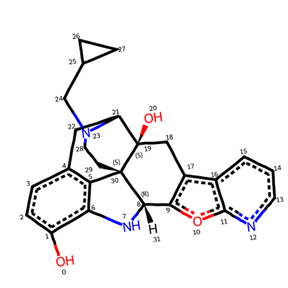 Oc1ccc2c3c1N[C@H]1c4oc5ncccc5c4C[C@@]4(O)C(C2)N(CC2CC2)CC[C@]314